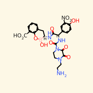 NCCN1CCN(C(=O)N[C@H](C(=O)N[C@H]2Cc3cccc(C(=O)O)c3OB2O)c2ccc(O)c([N+](=O)[O-])c2)C(=O)C1=O